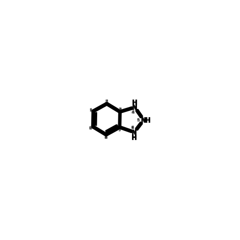 C1=CCC2NNNC2=C1